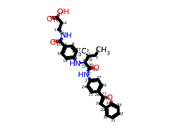 CC[C@H](C)[C@H](Nc1ccc(C(=O)NCCC(=O)O)cc1)C(=O)Nc1ccc(-c2cc3ccccc3o2)cc1